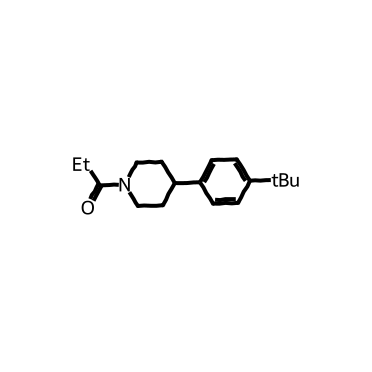 CCC(=O)N1CCC(c2ccc(C(C)(C)C)cc2)CC1